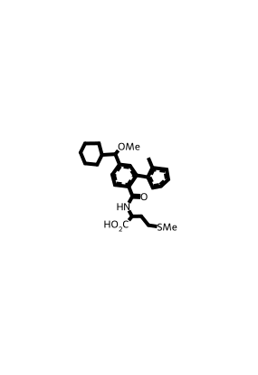 COC(c1ccc(C(=O)NC(CCSC)C(=O)O)c(-c2ccccc2C)c1)C1CCCCC1